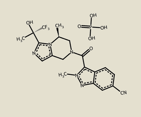 C[C@H]1CN(C(=O)c2c3ccc(C#N)cc3nn2C)Cc2cnc([C@@](C)(O)C(F)(F)F)n21.O=P(O)(O)O